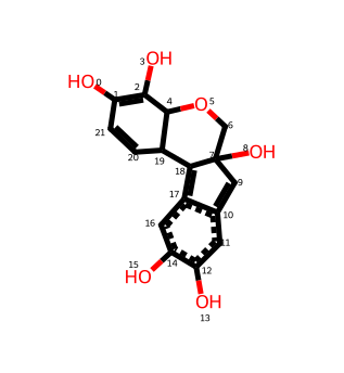 OC1=C(O)C2OCC3(O)C=c4cc(O)c(O)cc4=C3C2C=C1